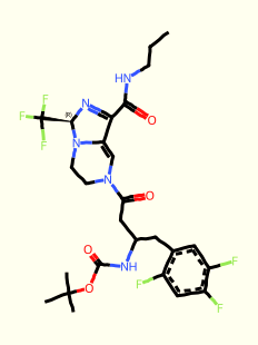 CCCNC(=O)C1=N[C@H](C(F)(F)F)N2CCN(C(=O)CC(Cc3cc(F)c(F)cc3F)NC(=O)OC(C)(C)C)C=C12